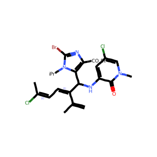 C=C(C)/C(=C\C=C(/C)Cl)C(Nc1cc(Cl)cn(C)c1=O)c1c(C(=O)OCC)nc(Br)n1C(C)C